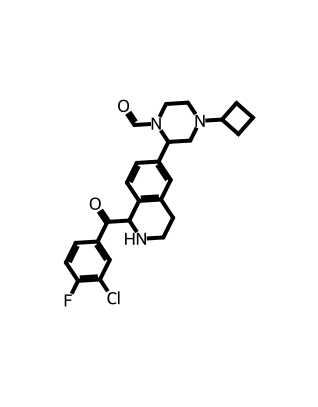 O=CN1CCN(C2CCC2)CC1c1ccc2c(c1)CCNC2C(=O)c1ccc(F)c(Cl)c1